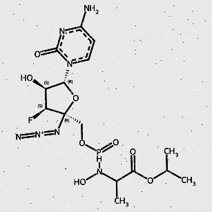 CC(C)OC(=O)C(C)N(O)[PH](=O)OC[C@@]1(N=[N+]=[N-])O[C@@H](n2ccc(N)nc2=O)[C@H](O)[C@@H]1F